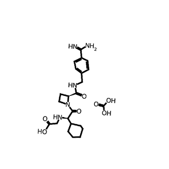 N=C(N)c1ccc(CNC(=O)[C@@H]2CCN2C(=O)[C@H](NCC(=O)O)C2CCCCC2)cc1.O=C(O)O